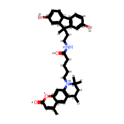 Cc1cc(=O)oc2cc3c(cc12)C(C)CC(C)(C)N3CCCCC(=O)NCCC1(C)c2cc(Br)ccc2-c2ccc(Br)cc21